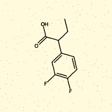 CCC(C(=O)O)c1ccc(F)c(F)c1